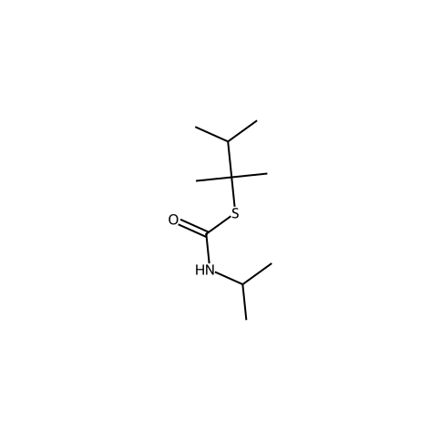 CC(C)NC(=O)SC(C)(C)C(C)C